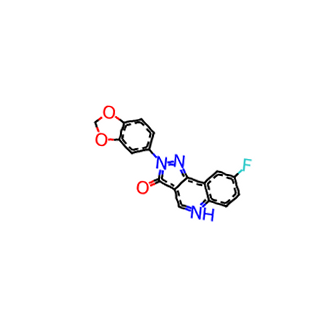 O=c1c2c[nH]c3ccc(F)cc3c-2nn1-c1ccc2c(c1)OCO2